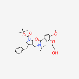 COc1ccc(C(=O)N(CC2CN(C(=O)OC(C)(C)C)CC2Cc2ccccc2)C(C)C)cc1OCCO